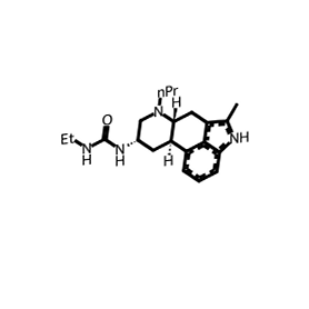 CCCN1C[C@@H](NC(=O)NCC)C[C@@H]2c3cccc4[nH]c(C)c(c34)C[C@H]21